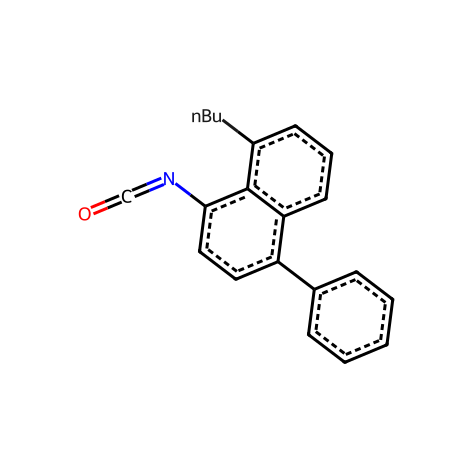 CCCCc1cccc2c(-c3ccccc3)ccc(N=C=O)c12